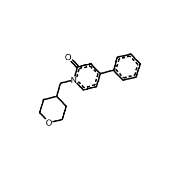 O=c1cc(-c2ccccc2)ccn1CC1CCOCC1